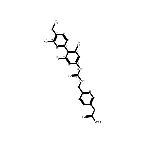 COC(=O)Cc1ccc(CNC(=O)Nc2cc(Cl)c(-c3ccc(CC(C)C)c(C#N)c3)c(Cl)c2)cc1